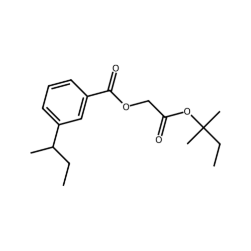 CCC(C)c1cccc(C(=O)OCC(=O)OC(C)(C)CC)c1